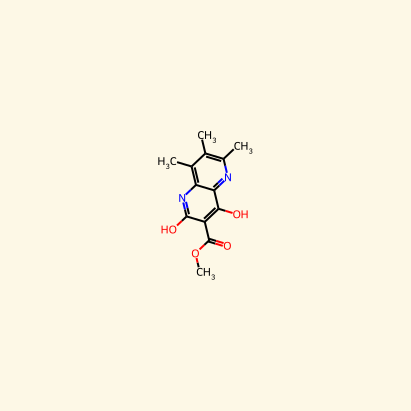 COC(=O)c1c(O)nc2c(C)c(C)c(C)nc2c1O